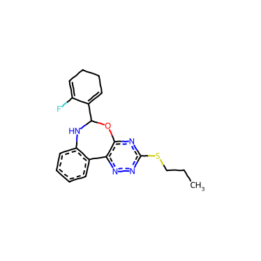 CCCSc1nnc2c(n1)OC(C1=CCCC=C1F)Nc1ccccc1-2